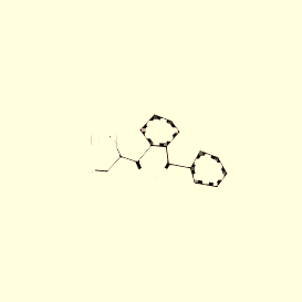 NC(CS)C(=O)c1ccccc1C(=O)c1ccccc1